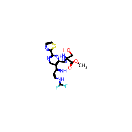 COC(=O)C(N)(CO)CC1=C(C(=N)/C=C\NC(F)F)CN=C(c2nccs2)N1